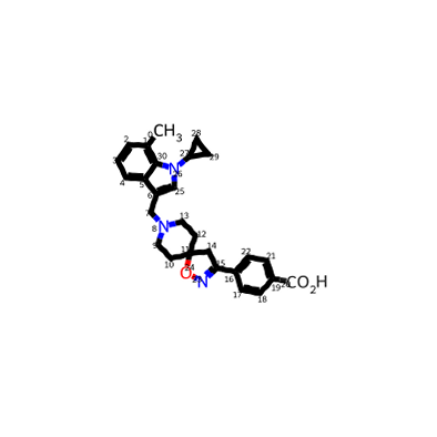 Cc1cccc2c(CN3CCC4(CC3)CC(c3ccc(C(=O)O)cc3)=NO4)cn(C3CC3)c12